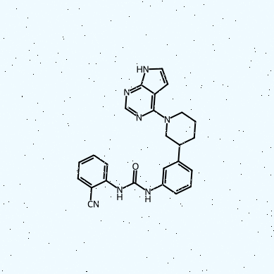 N#Cc1ccccc1NC(=O)Nc1cccc(C2CCCN(c3ncnc4[nH]ccc34)C2)c1